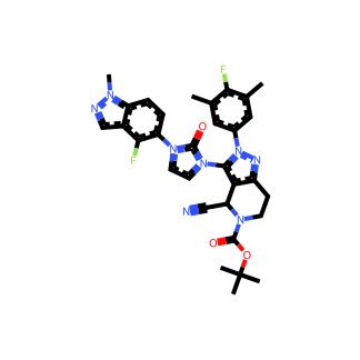 Cc1cc(-n2nc3c(c2-n2ccn(-c4ccc5c(cnn5C)c4F)c2=O)C(C#N)N(C(=O)OC(C)(C)C)CC3)cc(C)c1F